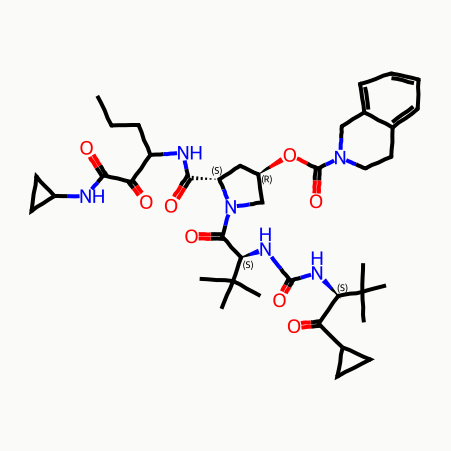 CCCC(NC(=O)[C@@H]1C[C@@H](OC(=O)N2CCc3ccccc3C2)CN1C(=O)[C@@H](NC(=O)N[C@H](C(=O)C1CC1)C(C)(C)C)C(C)(C)C)C(=O)C(=O)NC1CC1